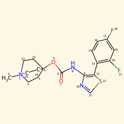 C[N+]12CCC(OC(=O)Nc3ncsc3-c3ccc(F)cc3F)(CC1)CC2